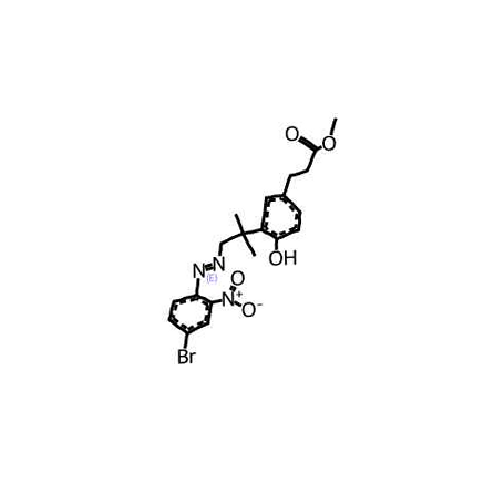 COC(=O)CCc1ccc(O)c(C(C)(C)C/N=N/c2ccc(Br)cc2[N+](=O)[O-])c1